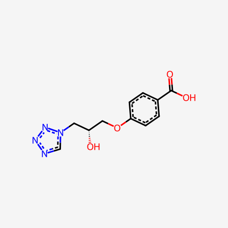 O=C(O)c1ccc(OC[C@H](O)Cn2cnnn2)cc1